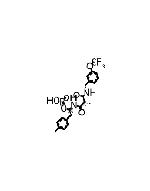 Cc1ccc(C[C@H](NC(=O)[C@@H](C)C(=O)NCc2cccc(OC(F)(F)F)c2)OB(O)O)cc1